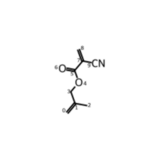 C=C(C)COC(=O)C(=C)C#N